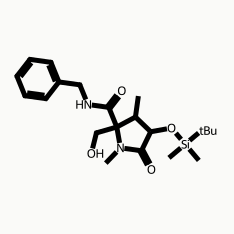 CC1C(O[Si](C)(C)C(C)(C)C)C(=O)N(C)C1(CO)C(=O)NCc1ccccc1